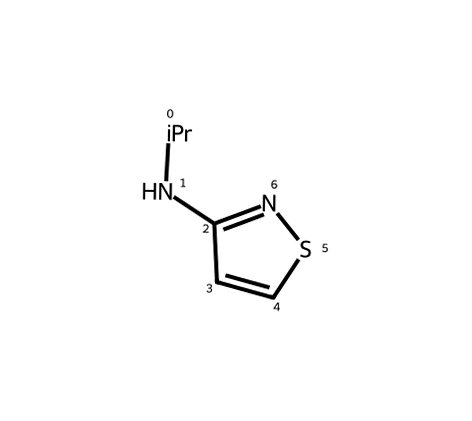 CC(C)Nc1ccsn1